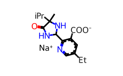 CCc1cnc(C2NC(=O)C(C)(C(C)C)N2)c(C(=O)[O-])c1.[Na+]